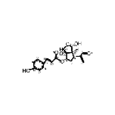 C=C(C=O)[C@H]1C[C@H](OC(=O)/C=C/c2ccc(O)cc2)[C@@]2(O)CO[C@H](O)[C@@H]12